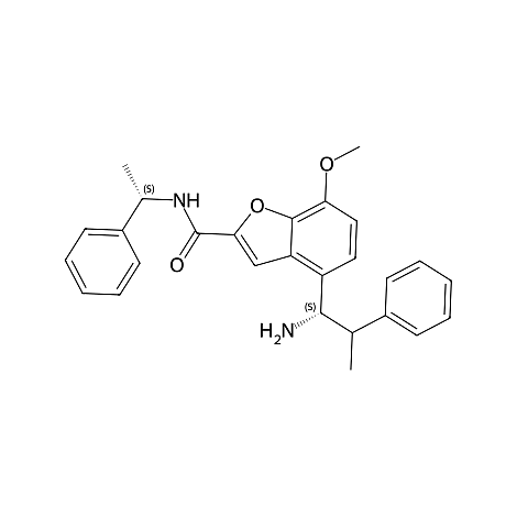 COc1ccc([C@@H](N)C(C)c2ccccc2)c2cc(C(=O)N[C@@H](C)c3ccccc3)oc12